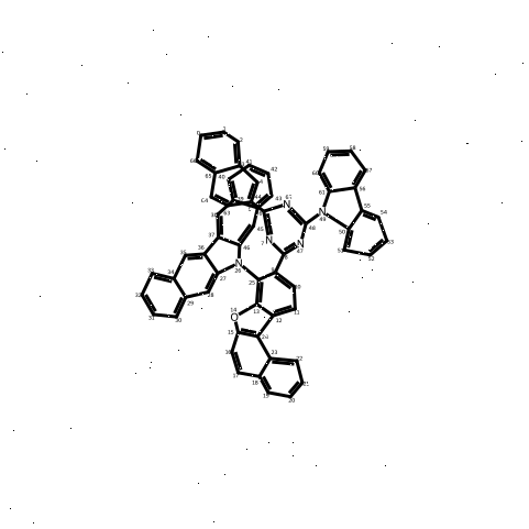 c1ccc2cc(-c3nc(-c4ccc5c(oc6ccc7ccccc7c65)c4-n4c5cc6ccccc6cc5c5cc6ccccc6cc54)nc(-n4c5ccccc5c5ccccc54)n3)ccc2c1